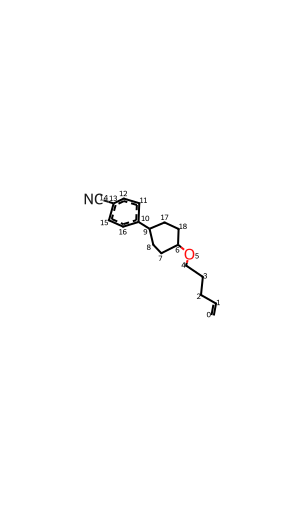 C=CCCCOC1CCC(c2ccc(C#N)cc2)CC1